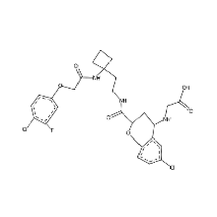 O=C(O)CNC1CC(C(=O)NCCC2(NC(=O)COc3ccc(Cl)c(F)c3)CCC2)Oc2ccc(Cl)cc21